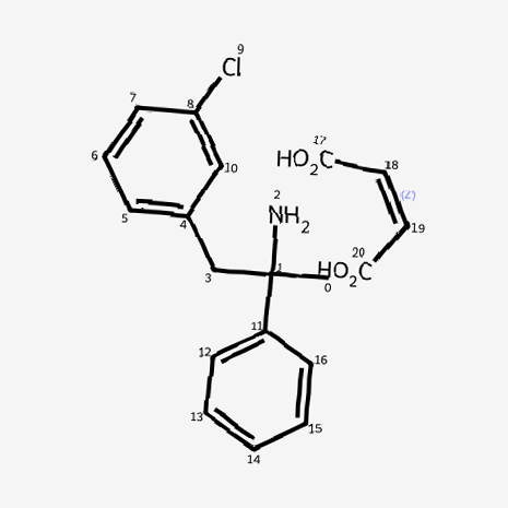 CC(N)(Cc1cccc(Cl)c1)c1ccccc1.O=C(O)/C=C\C(=O)O